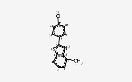 Cc1cccc2sc(-c3ccc(Cl)cc3)nc12